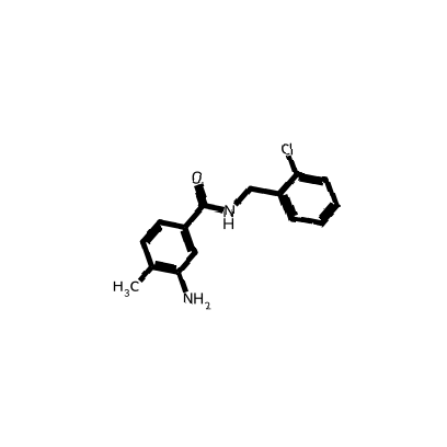 Cc1ccc(C(=O)NCc2ccccc2Cl)cc1N